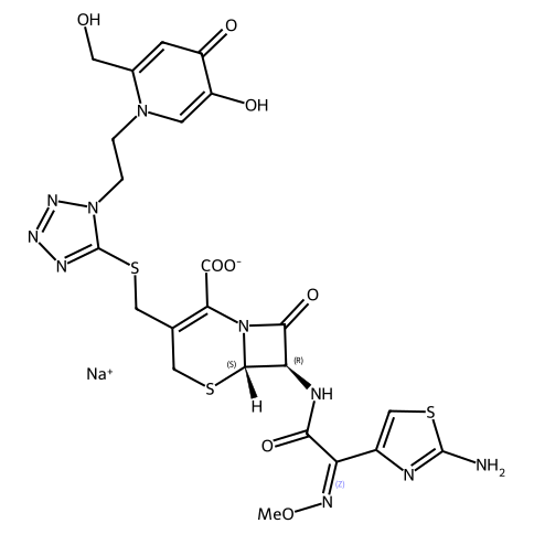 CO/N=C(\C(=O)N[C@@H]1C(=O)N2C(C(=O)[O-])=C(CSc3nnnn3CCn3cc(O)c(=O)cc3CO)CS[C@@H]12)c1csc(N)n1.[Na+]